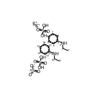 CCNc1ccccc1.CCNc1ccccc1.O=S(=O)(O)O.O=S(=O)(O)O.O=S([O-])[O-].[K+].[K+]